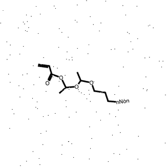 C=CC(=O)OC(C)OC(C)OCCCCCCCCCCCC